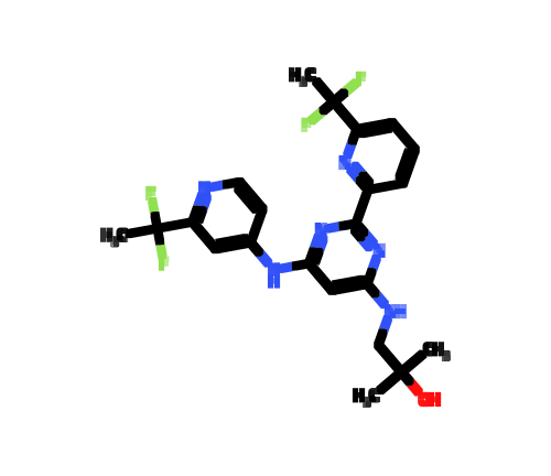 CC(C)(O)CNc1cc(Nc2ccnc(C(C)(F)F)c2)nc(-c2cccc(C(C)(F)F)n2)n1